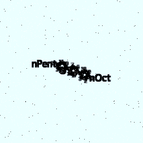 CCCCCCCCc1ccc(-c2ccc(C3CCC(CCCCC)CO3)cc2)cc1